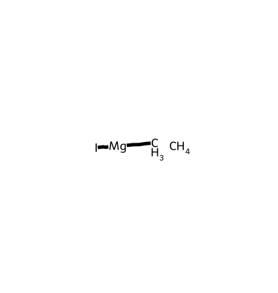 C.[CH3][Mg][I]